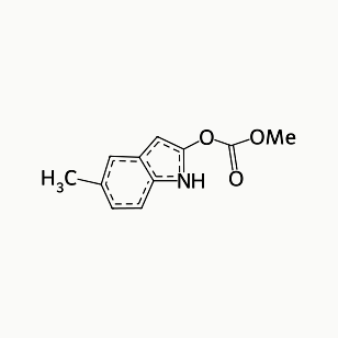 COC(=O)Oc1cc2cc(C)ccc2[nH]1